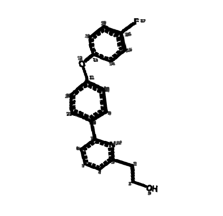 OCCc1cccc(-c2ccc(Oc3ccc(F)cc3)cc2)n1